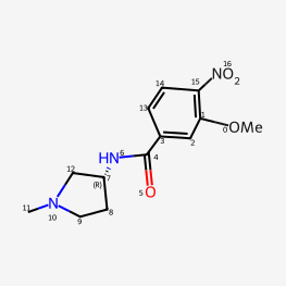 COc1cc(C(=O)N[C@@H]2CCN(C)C2)ccc1[N+](=O)[O-]